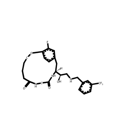 O=C1CCCCOc2ccc(cc2F)C[C@@H]([C@H](O)CNCc2cccc(C(F)(F)F)c2)NC(=O)CN1